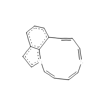 C1=CN=CC=Cc2cccc3ccn(c23)C=C1